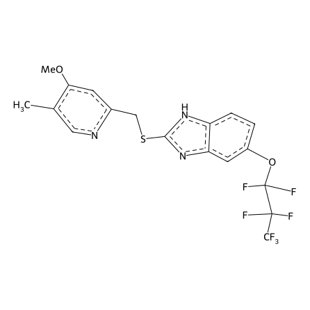 COc1cc(CSc2nc3cc(OC(F)(F)C(F)(F)C(F)(F)F)ccc3[nH]2)ncc1C